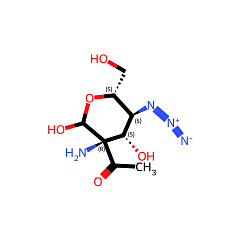 CC(=O)[C@]1(N)C(O)O[C@H](CO)[C@@H](N=[N+]=[N-])[C@@H]1O